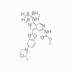 BC(B)(B)Nc1ncc(-c2nc3cc(N4CCO[C@H](C)C4)ccc3o2)c2cc(NC(=O)[C@H]3C[C@H]3C)ncc12